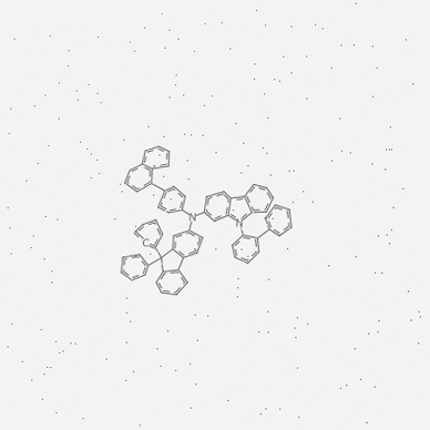 c1ccc(-c2ccccc2-n2c3ccccc3c3ccc(N(c4ccc(-c5cccc6ccccc56)cc4)c4ccc5c(c4)C(c4ccccc4)(c4ccccc4)c4ccccc4-5)cc32)cc1